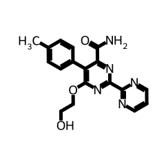 Cc1ccc(-c2c(OCCO)nc(-c3ncccn3)nc2C(N)=O)cc1